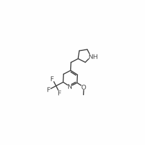 COC1=NC(C(F)(F)F)CC(CC2CCNC2)=C1